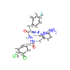 Cc1nc(N)ccc1CNC(=O)[C@@H](CNC(=O)[C@H](N)Cc1ccc(F)cc1)c1ccc(Cl)c(Cl)c1